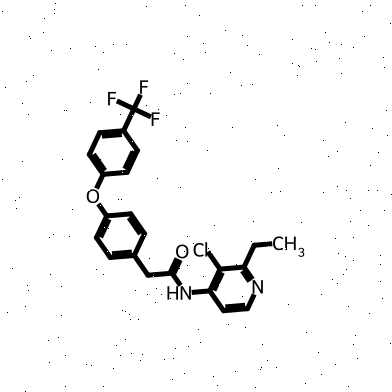 CCc1nccc(NC(=O)Cc2ccc(Oc3ccc(C(F)(F)F)cc3)cc2)c1Cl